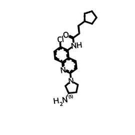 N[C@H]1CCN(c2ccc3c(NC(=O)CCC4CCCC4)c(Cl)ccc3n2)C1